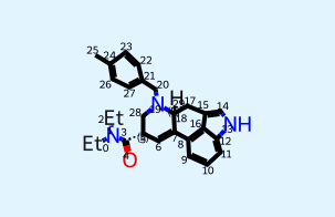 CCN(CC)C(=O)[C@H]1C=C2c3cccc4[nH]cc(c34)C[C@H]2N(Cc2ccc(C)cc2)C1